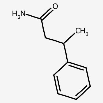 CC(CC(N)=O)c1ccccc1